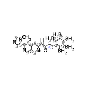 Bc1c(B)c(B)c(/C=C/C(=O)Nc2cc3cc(-c4cncn4C)ncc3cn2)c(B)c1B